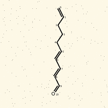 C=CCCCC=CC=CC=O